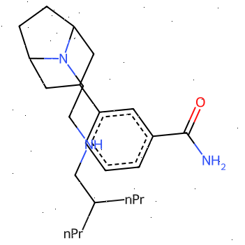 CCCC(CCC)CNCCN1C2CCC1CC(c1cccc(C(N)=O)c1)C2